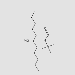 CC(C)(C)OC=O.CCCCCCCCCCC.Cl